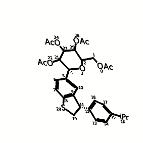 CC(=O)OCC1OC(c2ccc3c(c2)[C@H](c2ccc(C(C)C)cc2)CS3)C(OC(C)=O)C(OC(C)=O)C1OC(C)=O